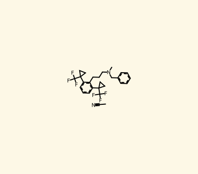 CC#N.CN(CCCc1c(C2(C(F)(F)F)CC2)cccc1C1(C(F)(F)F)CC1)Cc1ccccc1